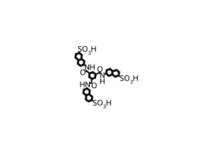 O=C(Nc1ccc2ccc(S(=O)(=O)O)cc2c1)c1cc(C(=O)Nc2ccc3ccc(S(=O)(=O)O)cc3c2)cc(C(=O)Nc2ccc3ccc(S(=O)(=O)O)cc3c2)c1